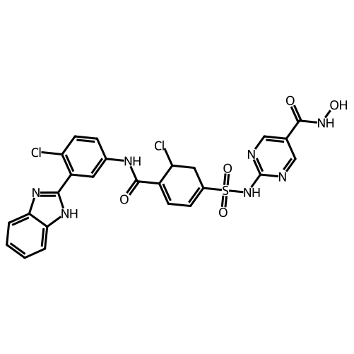 O=C(Nc1ccc(Cl)c(-c2nc3ccccc3[nH]2)c1)C1=CC=C(S(=O)(=O)Nc2ncc(C(=O)NO)cn2)CC1Cl